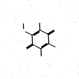 O=C1C(Cl)=C(Cl)C(=O)C(NCl)=C1Cl